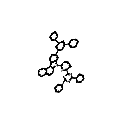 c1ccc(-c2cc(-c3ccccc3)cc(-c3ccc4c5c6ccccc6ccc5n(-c5cccc(-c6nc(-c7ccccc7)nc(-c7ccccc7)n6)n5)c4c3)c2)cc1